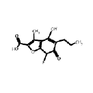 CCCC1=C(O)c2c(oc(C(=O)O)c2C)C(F)C1=O